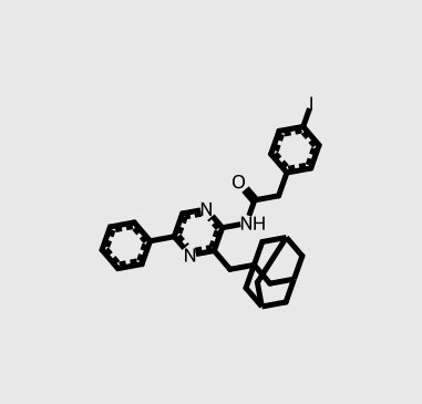 O=C(Cc1ccc(I)cc1)Nc1ncc(-c2ccccc2)nc1CC12CC3CC(CC(C3)C1)C2